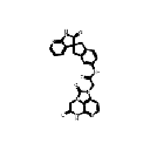 O=C(Cn1c(=O)n2c3c(nccc31)NC(=O)C2)Nc1ccc2c(c1)CC1(C2)C(=O)Nc2ncccc21